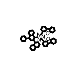 c1ccc(-c2cc(-c3cccc4ccccc34)c(-c3nc(-c4cccc5c4oc4ccccc45)nc(-c4cccc5c4oc4ccccc45)n3)c3ccccc23)cc1